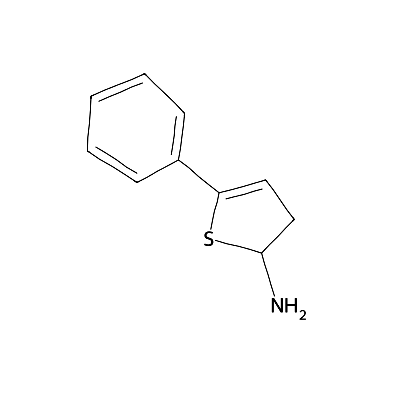 NC1CC=C(c2ccccc2)S1